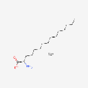 CCCCCCCCCCCCCC(N)C(=O)[O-].[Na+]